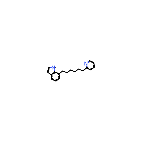 C1=Cc2cccc(CCCCCCc3ccccn3)c2[N]1